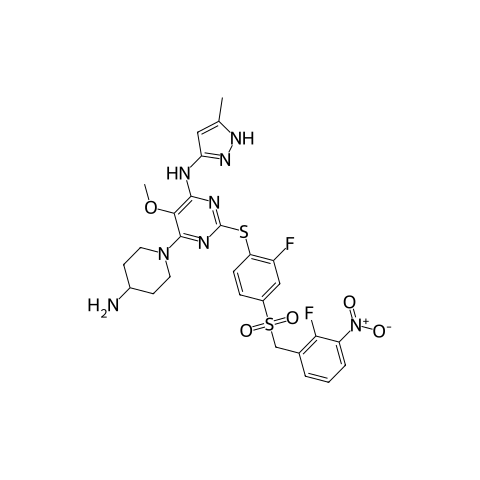 COc1c(Nc2cc(C)[nH]n2)nc(Sc2ccc(S(=O)(=O)Cc3cccc([N+](=O)[O-])c3F)cc2F)nc1N1CCC(N)CC1